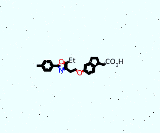 CCc1oc(-c2ccc(C)cc2)nc1CCOc1ccc2c(c1)CCC2CC(=O)O